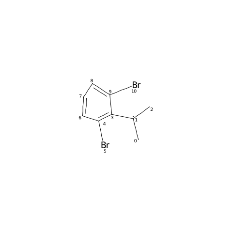 C[C](C)c1c(Br)cccc1Br